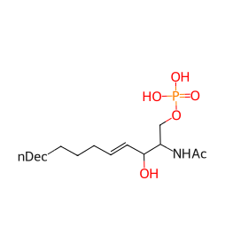 CCCCCCCCCCCCCC=CC(O)C(COP(=O)(O)O)NC(C)=O